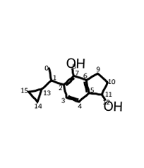 CC(c1ccc2c(c1O)CCC2O)C1CC1